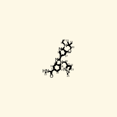 CCN1c2ncc(-c3nc4cc(C(=O)NC)ccc4n3Cc3ccn(C)n3)cc2OCC1(C)C